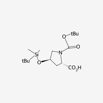 CC(C)(C)OC(=O)N1C[C@H](O[Si](C)(C)C(C)(C)C)C[C@H]1C(=O)O